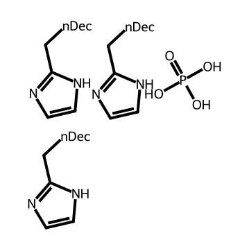 CCCCCCCCCCCc1ncc[nH]1.CCCCCCCCCCCc1ncc[nH]1.CCCCCCCCCCCc1ncc[nH]1.O=P(O)(O)O